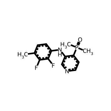 Cc1ccc(Nc2cnccc2P(C)(C)=O)c(F)c1F